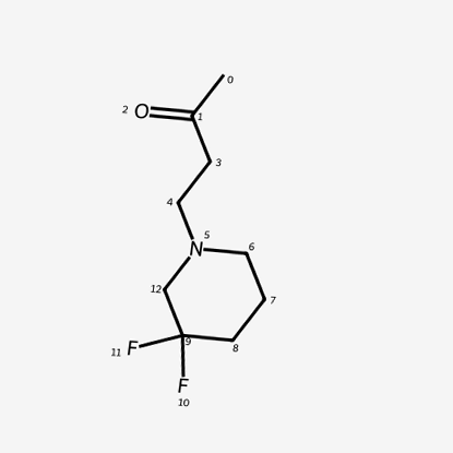 CC(=O)CCN1CCCC(F)(F)C1